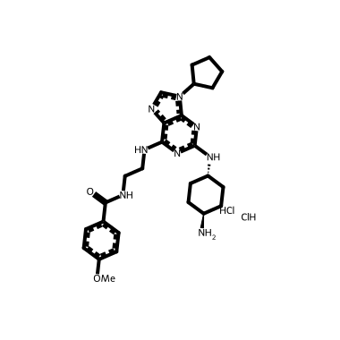 COc1ccc(C(=O)NCCNc2nc(N[C@H]3CC[C@H](N)CC3)nc3c2ncn3C2CCCC2)cc1.Cl.Cl